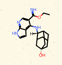 CCOC(=N)c1cnc2[nH]ccc2c1N[C@H]1C2CC3CC1C[C@@](O)(C3)C2